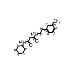 O=C(CC(=O)NC1CCCCC1)NCCc1cccc(C(F)(F)F)c1